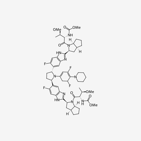 COC(=O)N[C@H](C(=O)N1[C@H](c2nc3cc([C@H]4CC[C@H](c5cc6nc([C@@H]7C[C@@H]8CCC[C@@H]8N7C(=O)[C@@H](NC(=O)OC)[C@@H](C)OC)[nH]c6cc5F)N4C4=CC(F)=C(N5CCCCC5)C(F)C4)c(F)cc3[nH]2)C[C@@H]2CCC[C@@H]21)[C@@H](C)OC